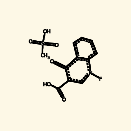 CS(=O)(=O)O.O=C(O)c1cn(F)c2ccccc2c1=O